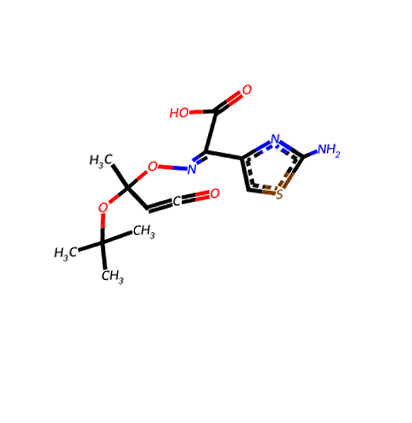 CC(C)(C)OC(C)(C=C=O)ON=C(C(=O)O)c1csc(N)n1